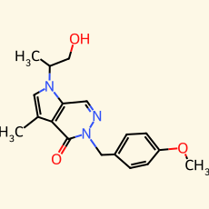 COc1ccc(Cn2ncc3c(c(C)cn3C(C)CO)c2=O)cc1